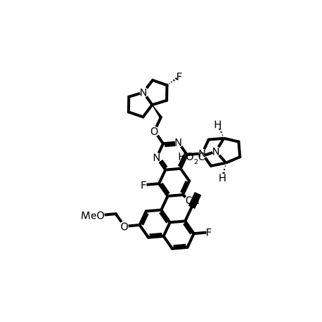 C#Cc1c(F)ccc2cc(OCOC)cc(-c3c(C#N)cc4c(N5C[C@H]6CC[C@@H](C5)N6C(=O)O)nc(OC[C@@]56CCCN5C[C@H](F)C6)nc4c3F)c12